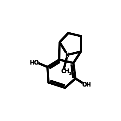 CN1C2CCC1c1c(O)ccc(O)c12